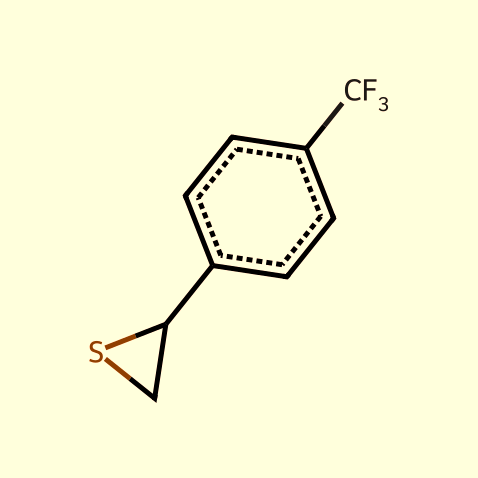 FC(F)(F)c1ccc(C2CS2)cc1